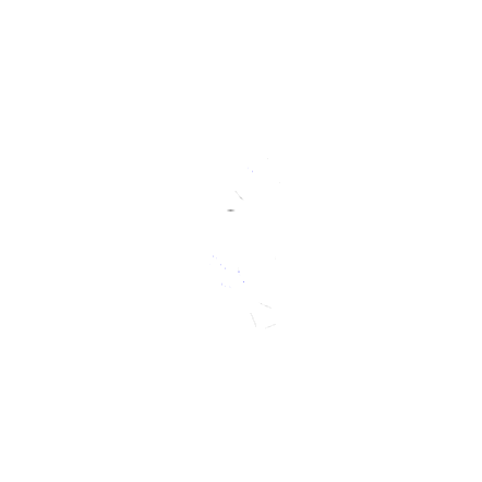 CC(SCc1csc(CN(C)C)c1)c1nc(Cc2ccccc2)nn1N